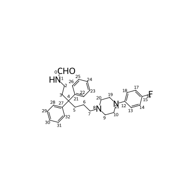 O=CNCCC(CCCN1CCN(c2ccc(F)cc2)CC1)(c1ccccc1)c1ccccc1